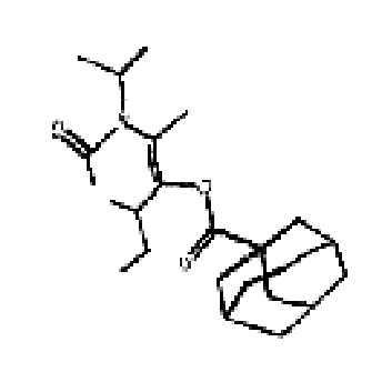 CCC(C)/C(OC(=O)C12CC3CC(CC(C3)C1)C2)=C(/C)N(C(C)=O)C(C)C